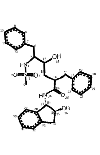 CS(=O)(=O)NC(Cc1ccccc1)C(O)CC(Cc1ccccc1)C(=O)N[C@H]1c2ccccc2C[C@@H]1O